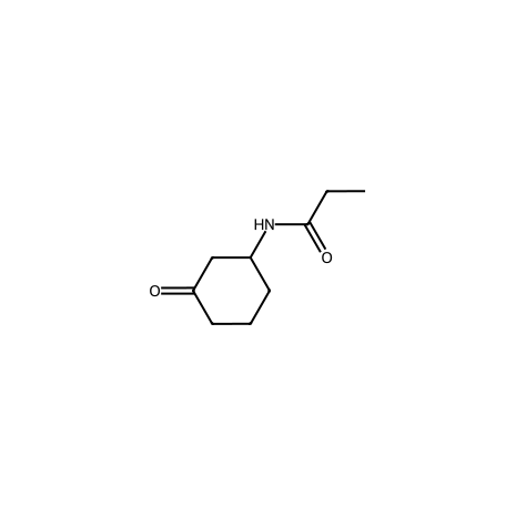 CCC(=O)NC1CCCC(=O)C1